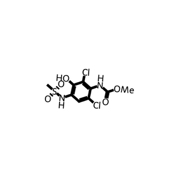 COC(=O)Nc1c(Cl)cc(NS(C)(=O)=O)c(O)c1Cl